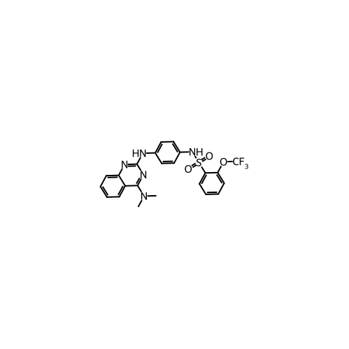 CN(C)c1nc(Nc2ccc(NS(=O)(=O)c3ccccc3OC(F)(F)F)cc2)nc2ccccc12